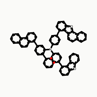 c1ccc(-c2ccc(-c3cccc4c3ccc3ccccc34)cc2N(c2ccc(-c3cccc4oc5ccccc5c34)cc2)c2ccc(-c3cccc4oc5c6ccccc6ccc5c34)cc2)cc1